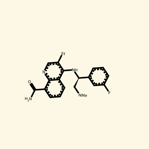 CCc1cnc2c(C(N)=O)cccc2c1N[C@H](CNC)c1cccc(F)c1